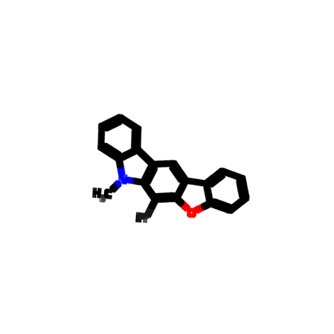 CC(C)c1c2oc3ccccc3c2cc2c3ccccc3n(C)c12